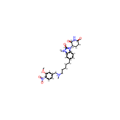 COc1cc(CN(C)CCCCCc2ccc3c(c2)n(C)c(=O)n3C2CCC(=O)NC2=O)ccc1[N+](=O)[O-]